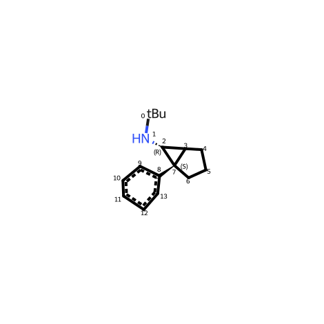 CC(C)(C)N[C@@H]1C2CCC[C@@]21c1ccccc1